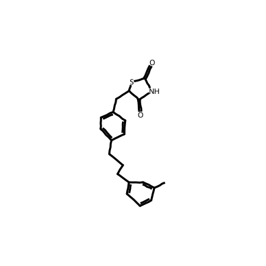 Cc1cccc(CCCc2ccc(CC3SC(=O)NC3=O)cc2)c1